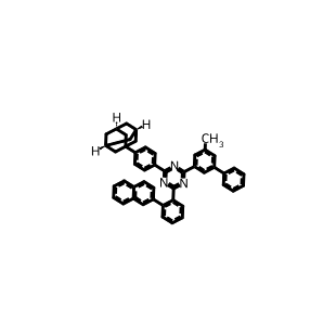 Cc1cc(-c2ccccc2)cc(-c2nc(-c3ccc(C45C[C@H]6C[C@@H](C4)C[C@@H](C5)C6)cc3)nc(-c3ccccc3-c3ccc4ccccc4c3)n2)c1